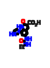 CCNC(=O)Nc1ccc2[nH]c(=O)c(C(=O)O)cc2c1.c1c[nH]cn1